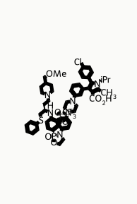 COCC1CCN(CC[C@H](CSc2ccccc2)Nc2ccc([P@]3(=O)OCCN3c3ccc(N4CCN(c5cccc(-c6c(C(=O)O)c(C)n(C(C)C)c6-c6ccc(Cl)cc6)c5)CC4)cc3)cc2S(=O)(=O)C(F)(F)F)CC1